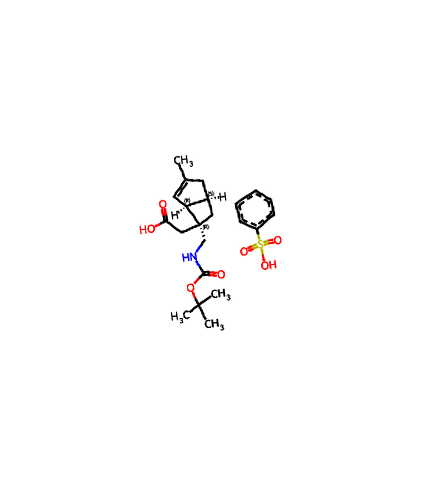 CC1=C[C@H]2[C@@H](C1)C[C@@]2(CNC(=O)OC(C)(C)C)CC(=O)O.O=S(=O)(O)c1ccccc1